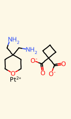 NCC1(CN)CCOCC1.O=C([O-])C1(C(=O)[O-])CCC1.[Pt+2]